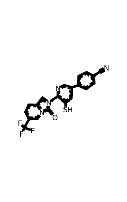 N#Cc1ccc(-c2cnc(-n3cc4ccc(C(F)(F)F)cn4c3=O)c(S)c2)cc1